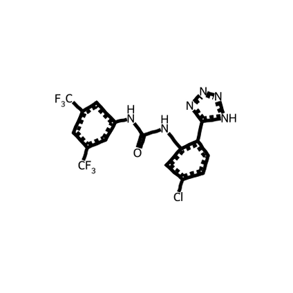 O=C(Nc1cc(C(F)(F)F)cc(C(F)(F)F)c1)Nc1cc(Cl)ccc1-c1nnn[nH]1